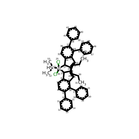 CCCC1=Cc2c(ccc(-c3ccccc3)c2-c2ccccc2)[CH]1[Zr]([Cl])([Cl])([CH]1C(CCC)=Cc2c1ccc(-c1ccccc1)c2-c1ccccc1)[SiH](C)C